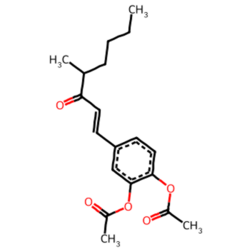 CCCCC(C)C(=O)C=Cc1ccc(OC(C)=O)c(OC(C)=O)c1